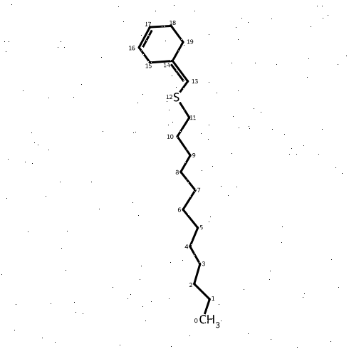 CCCCCCCCCCCCSC=C1CC=CCC1